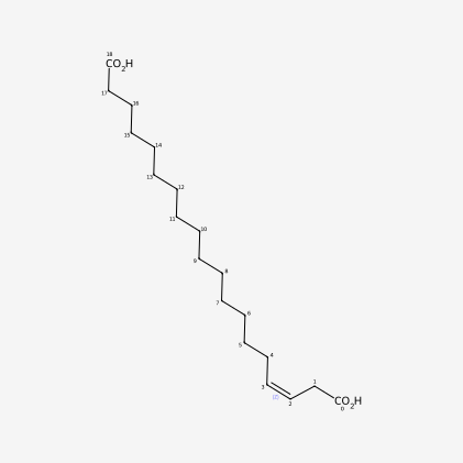 O=C(O)C/C=C\CCCCCCCCCCCCCCC(=O)O